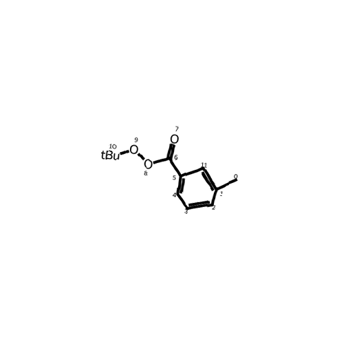 Cc1cccc(C(=O)OOC(C)(C)C)c1